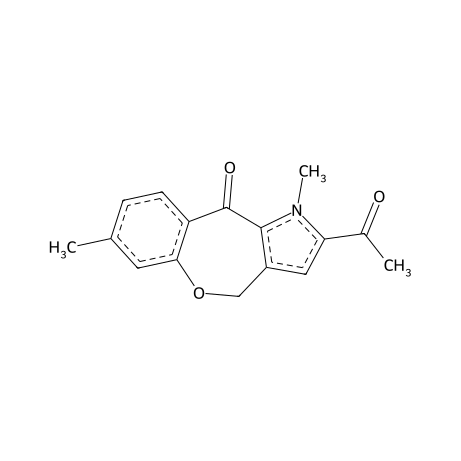 CC(=O)c1cc2c(n1C)C(=O)c1ccc(C)cc1OC2